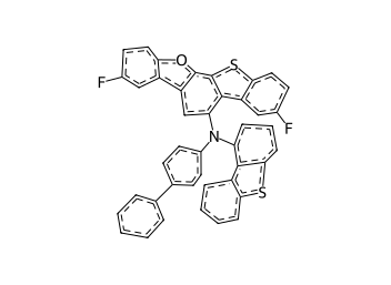 Fc1ccc2oc3c(cc(N(c4ccc(-c5ccccc5)cc4)c4cccc5sc6ccccc6c45)c4c5cc(F)ccc5sc34)c2c1